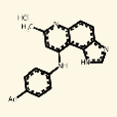 CC(=O)c1ccc(Nc2cc(C)nc3ccc4nc[nH]c4c23)cc1.Cl